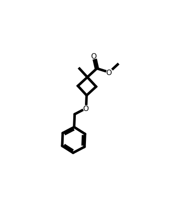 COC(=O)C1(C)CC(OCc2ccccc2)C1